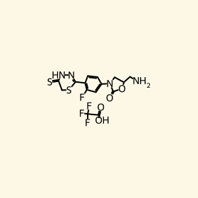 NCC1CN(c2ccc(C3=NNC(=S)CS3)c(F)c2)C(=O)O1.O=C(O)C(F)(F)F